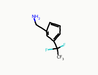 NCc1cccc(C(F)(F)C(F)(F)F)c1